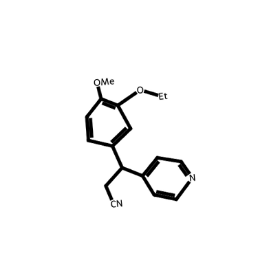 CCOc1cc(C(CC#N)c2ccncc2)ccc1OC